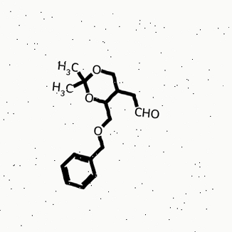 CC1(C)OCC(CC=O)C(COCc2ccccc2)O1